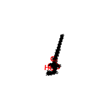 CCCCCCCCCCCCCCCCCC(=O)OCc1cc(OC)c(C/C=C(\C)CCC=C(C)C)c(O)c1C=O